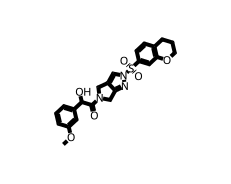 COc1cccc(C(O)C(=O)N2Cc3cn(S(=O)(=O)c4ccc5c(c4)OCCC5)nc3C2)c1